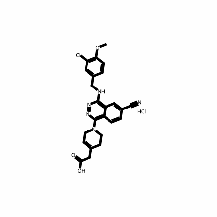 COc1ccc(CNc2nnc(N3CC=C(CC(=O)O)CC3)c3ccc(C#N)cc23)cc1Cl.Cl